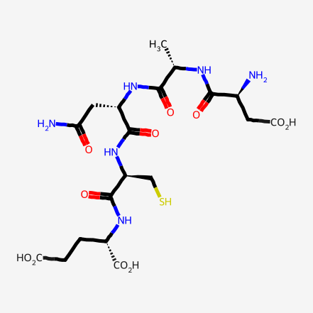 C[C@H](NC(=O)[C@@H](N)CC(=O)O)C(=O)N[C@@H](CC(N)=O)C(=O)N[C@@H](CS)C(=O)N[C@@H](CCC(=O)O)C(=O)O